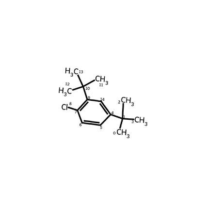 CC(C)(C)c1ccc(Cl)c(C(C)(C)C)c1